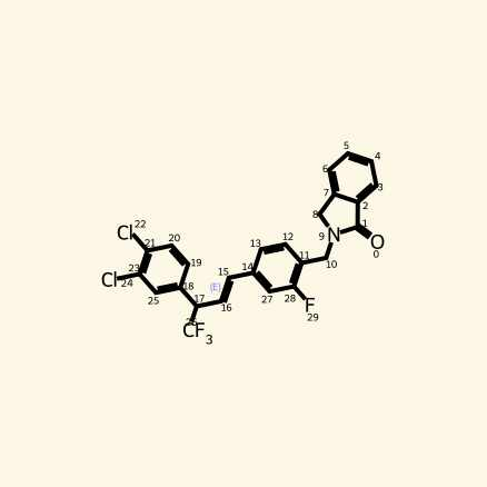 O=C1c2ccccc2CN1Cc1ccc(/C=C/C(c2ccc(Cl)c(Cl)c2)C(F)(F)F)cc1F